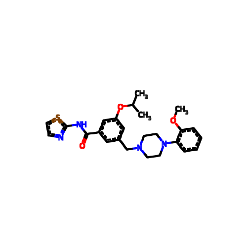 COc1ccccc1N1CCN(Cc2cc(OC(C)C)cc(C(=O)Nc3nccs3)c2)CC1